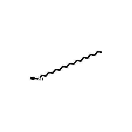 C#CNCCCCCCCCCCCCCCCCCC